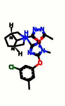 Cc1cc(Cl)cc(Oc2nc(NC3[C@@H]4CC[C@H]3CN(c3nnc(C)o3)C4)nn2C)c1